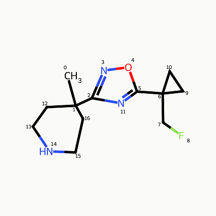 CC1(c2noc(C3(CF)CC3)n2)CCNCC1